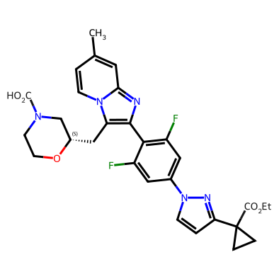 CCOC(=O)C1(c2ccn(-c3cc(F)c(-c4nc5cc(C)ccn5c4C[C@H]4CN(C(=O)O)CCO4)c(F)c3)n2)CC1